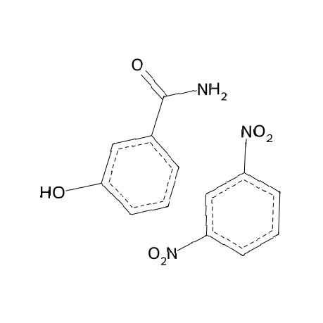 NC(=O)c1cccc(O)c1.O=[N+]([O-])c1cccc([N+](=O)[O-])c1